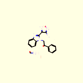 Nc1nonc1-c1nc2ccccc2n1CC(=O)c1ccccc1.O=CNO